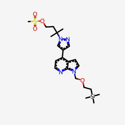 CC(C)(CCOS(C)(=O)=O)n1cc(-c2ccnc3c2ccn3COCC[Si](C)(C)C)cn1